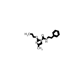 CCCOc1nc(C)cn1C(=O)NCCc1ccccc1